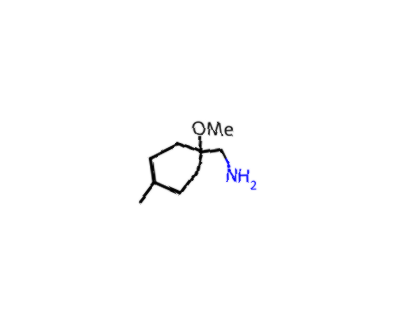 COC1(CN)CCC(C)CC1